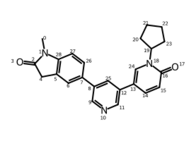 CN1C(=O)Cc2cc(-c3cncc(-c4ccc(=O)n(C5CCCC5)c4)c3)ccc21